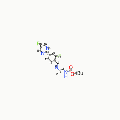 C[C@@H](CNC(=O)OC(C)(C)C)/N=C/c1ccc(-c2ncc(F)cn2)cc1F